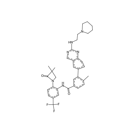 Cc1ccc(C(=O)Nc2cc(C(F)(F)F)ccc2N2CC(C)(C)C2=O)cc1-c1ccc2nc(NCCN3CCCCC3)ncc2c1